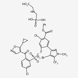 CC(C)OC(=O)c1cc(-c2nn(C)c(C(F)(F)F)c2Br)c(F)cc1Cl.CS(=O)(=O)c1cc(Cl)ccc1C(=O)c1cnoc1C1CC1.O=C(O)CNCP(=O)(O)O